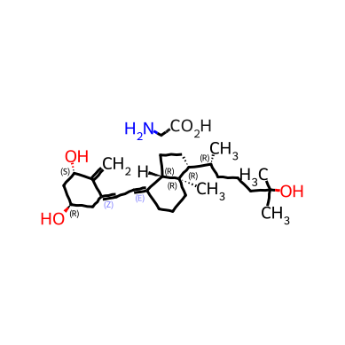 C=C1/C(=C\C=C2/CCC[C@]3(C)[C@@H]([C@H](C)CCCC(C)(C)O)CC[C@@H]23)C[C@@H](O)C[C@@H]1O.NCC(=O)O